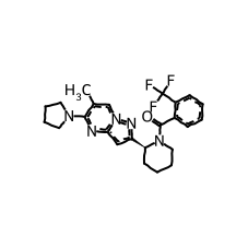 Cc1cn2nc([C@@H]3CCCCN3C(=O)c3ccccc3C(F)(F)F)cc2nc1N1CCCC1